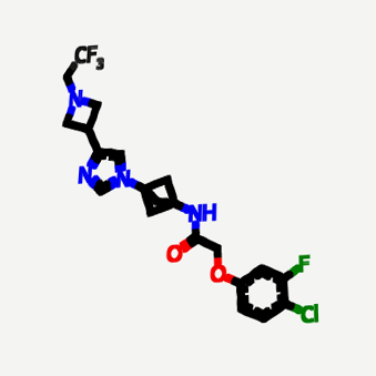 O=C(COc1ccc(Cl)c(F)c1)NC12CC(n3cnc(C4CN(CC(F)(F)F)C4)c3)(C1)C2